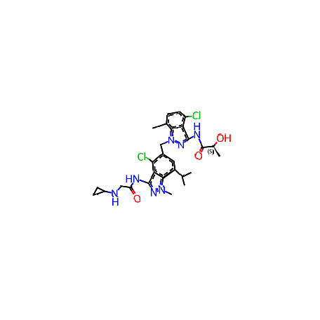 Cc1ccc(Cl)c2c(NC(=O)[C@H](C)O)nn(Cc3cc(C(C)C)c4c(c(NC(=O)CNC5CC5)nn4C)c3Cl)c12